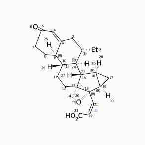 CC[C@H]1CC2=CC(=O)CC[C@@H]2[C@H]2CC[C@@]3(C)[C@@H]([C@H]4C[C@H]4[C@@]3(O)/C=C\C(=O)O)[C@H]12